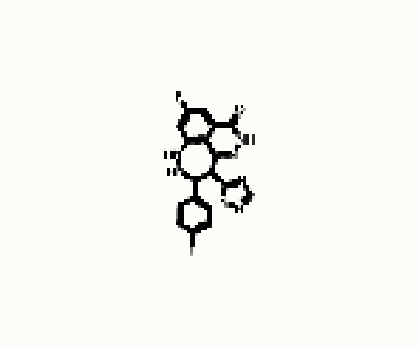 O=c1[nH]nc2c3c(cc(F)cc13)NNC(c1ccc(F)cc1)C2c1ncn[nH]1